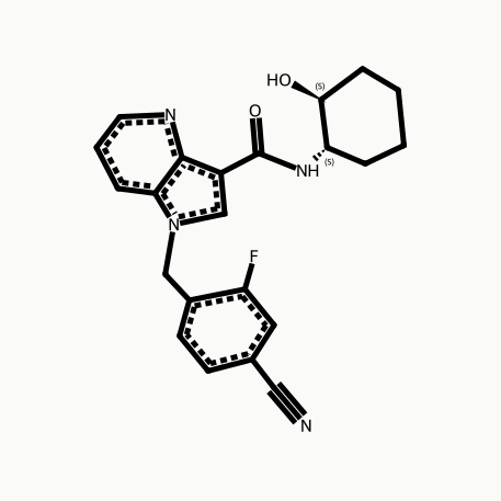 N#Cc1ccc(Cn2cc(C(=O)N[C@H]3CCCC[C@@H]3O)c3ncccc32)c(F)c1